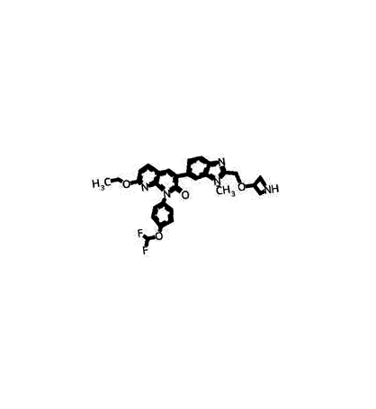 CCOc1ccc2cc(-c3ccc4nc(COC5CNC5)n(C)c4c3)c(=O)n(-c3ccc(OC(F)F)cc3)c2n1